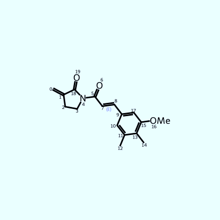 C=C1CCN(C(=O)/C=C/c2cc(C)c(C)c(OC)c2)C1=O